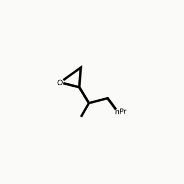 [CH2]CCCC(C)C1CO1